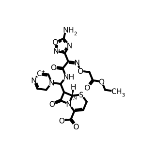 CCOC(=O)CON=C(C(=O)NC(C1C(=O)N2C(C(=O)[O-])=CCS[C@@H]12)N1C=[C+]N=CC1)c1noc(N)n1